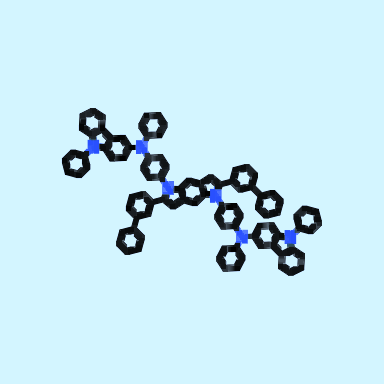 c1ccc(-c2cccc(-c3cc4cc5c(cc(-c6cccc(-c7ccccc7)c6)n5-c5ccc(N(c6ccccc6)c6ccc7c(c6)c6ccccc6n7-c6ccccc6)cc5)cc4n3-c3ccc(N(c4ccccc4)c4ccc5c(c4)c4ccccc4n5-c4ccccc4)cc3)c2)cc1